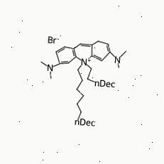 CCCCCCCCCCCCCCCC[N+]1(CCCCCCCCCCCC)C2=CC(N(C)C)=CCC2=Cc2ccc(N(C)C)cc21.[Br-]